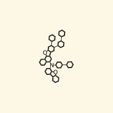 c1ccc(-c2ccc(N(c3cc4c5cc(-c6cccc(-c7ccccc7)c6)c(-c6ccccc6)cc5oc4c4ccccc34)c3cccc4c3oc3ccccc34)cc2)cc1